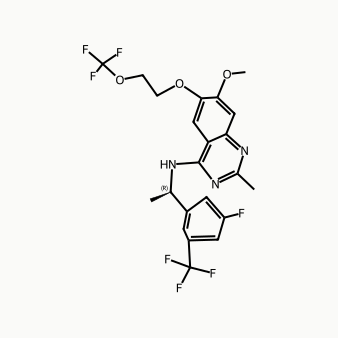 COc1cc2nc(C)nc(N[C@H](C)c3cc(F)cc(C(F)(F)F)c3)c2cc1OCCOC(F)(F)F